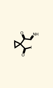 N=CC(=O)C1(C(=O)I)CC1